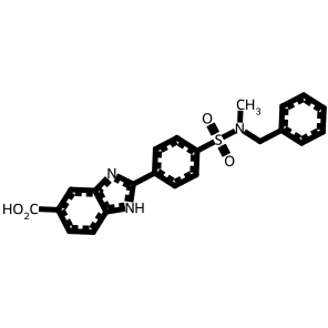 CN(Cc1ccccc1)S(=O)(=O)c1ccc(-c2nc3cc(C(=O)O)ccc3[nH]2)cc1